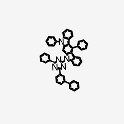 c1ccc(-c2cccc(-c3nc(-c4ccccc4)nc(-n4c5ccccc5c5c(-c6ccccc6)c6c7ccccc7n(-c7ccccc7)c6cc54)n3)c2)cc1